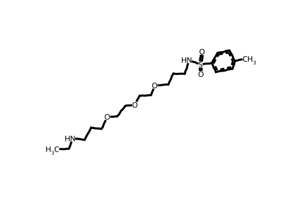 CCNCCCOCCOCCOCCCNS(=O)(=O)c1ccc(C)cc1